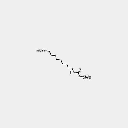 CCCCCCCCCCCCCCCCCCNC(=S)CSC